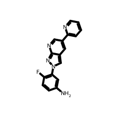 Nc1ccc(F)c(-n2cc3cc(-c4ccccn4)cnc3n2)c1